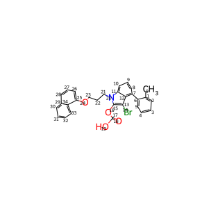 Cc1ccccc1-c1cccc2c1c(Br)c(OC(=O)O)n2CCCOc1cccc2ccccc12